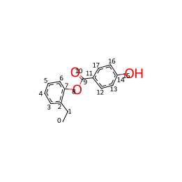 CCc1ccccc1OC(=O)c1ccc(O)cc1